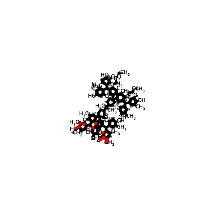 C=COOCOc1c(C)cc(C2(c3cc(C)c(OCC(=O)OC)c(C(c4cc(C)c(O)cc4C)c4cc(C)c(O)cc4C)c3)CCC(C(C)(C)C3CCC(c4cc(C)c(OCOOC=C)c(C(c5cc(C)c(O)cc5C)c5cc(C)c(O)cc5C)c4)(c4cc(C)c(OCC(=O)OC)c(C(c5cc(C)c(O)cc5C)c5cc(C)c(O)cc5C)c4)CC3)CC2)cc1C(c1cc(C)c(O)cc1C)c1cc(C)c(O)cc1C